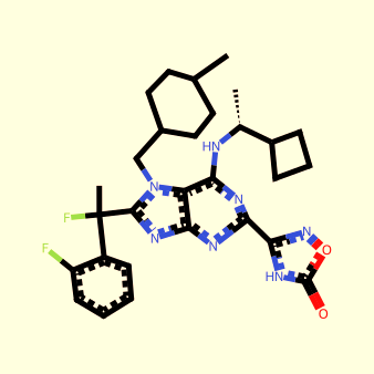 CC1CCC(Cn2c(C(C)(F)c3ccccc3F)nc3nc(-c4noc(=O)[nH]4)nc(N[C@H](C)C4CCC4)c32)CC1